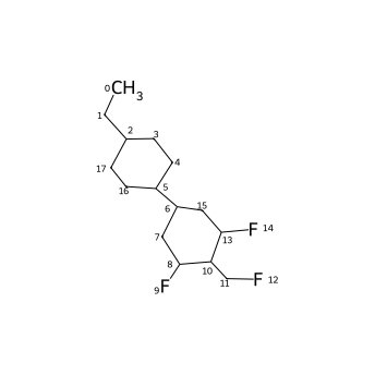 CCC1CCC(C2CC(F)C(CF)C(F)C2)CC1